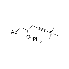 CC(=O)CC(CC#C[Si](C)(C)C)OP